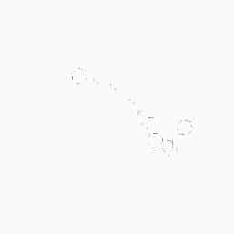 CCOC(=O)c1ccc(N2CCN(C(=O)CN3CC[C@@H](C(=O)Nc4ccc5[nH]nc(-c6ccc(F)cc6)c5c4)C3)CC2)cc1